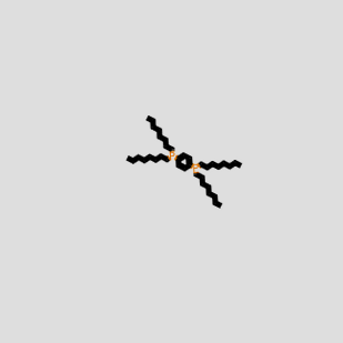 CCCCCCCCP(CCCCCCCC)c1ccc(P(CCCCCCCC)CCCCCCCC)cc1